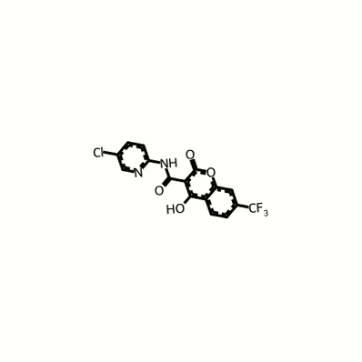 O=C(Nc1ccc(Cl)cn1)c1c(O)c2ccc(C(F)(F)F)cc2oc1=O